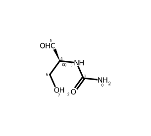 NC(=O)N[C@H](C=O)CO